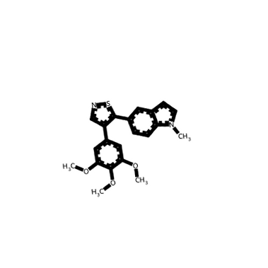 COc1cc(-c2cnsc2-c2ccc3c(ccn3C)c2)cc(OC)c1OC